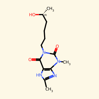 Cc1nc2c([nH]1)c(=O)n(CCCC[C@@H](C)O)c(=O)n2C